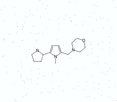 Cn1c(CN2CCOCC2)ccc1C1CCC[N]1